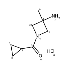 CC1(N)CN(C(=O)C2CC2)C1.Cl